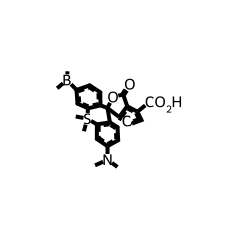 CB(C)c1ccc2c(c1)S(C)(C)c1cc(N(C)C)ccc1C21OC(=O)c2c(C(=O)O)cccc21